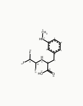 CNc1cccc(CC(NC(F)C(F)F)C(=O)O)c1